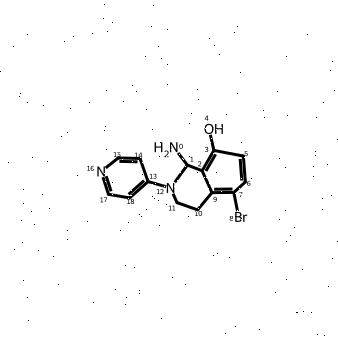 NC1c2c(O)ccc(Br)c2CCN1c1ccncc1